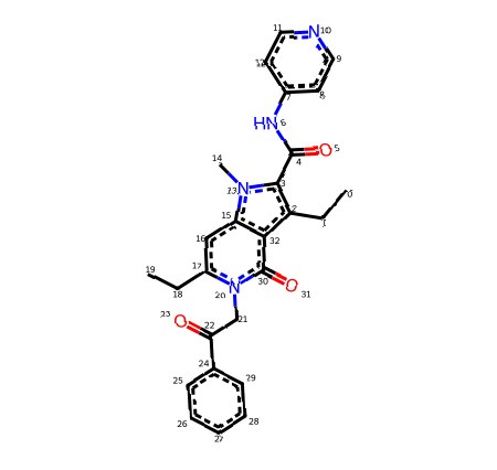 CCc1c(C(=O)Nc2ccncc2)n(C)c2cc(CC)n(CC(=O)c3ccccc3)c(=O)c12